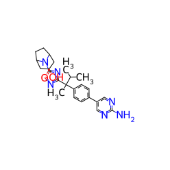 CC(C)C(C)(c1ccc(-c2cnc(N)nc2)cc1)c1noc(N2C3CCC2CC(O)C3)n1